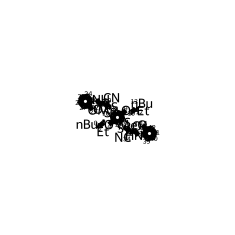 CCCCC(CC)COc1c2c(c(OCC(CC)CCCC)c3c1SC(=C(C#N)C(=O)Nc1ccccc1OC)S3)SC(=C(C#N)C(=O)Nc1ccccc1OC)S2